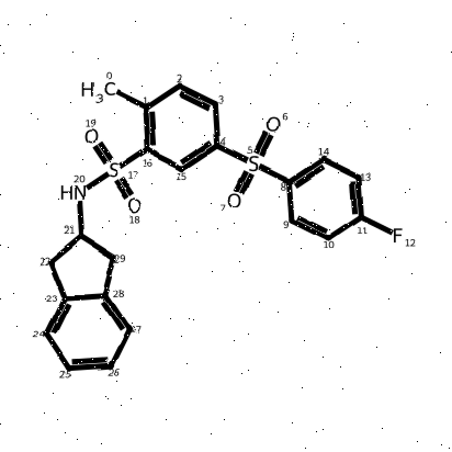 Cc1ccc(S(=O)(=O)c2ccc(F)cc2)cc1S(=O)(=O)NC1Cc2ccccc2C1